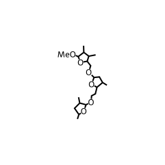 COC1OC(COC2CC(C)C(CCOC3OC(C)CC3C)O2)C(C)C1C